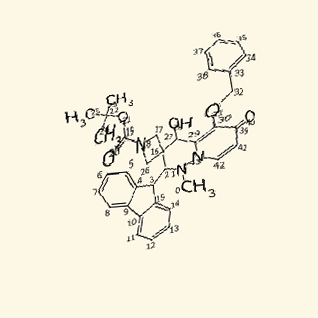 CN1C(C2c3ccccc3-c3ccccc32)C2(CN(C(=O)OC(C)(C)C)C2)C(O)c2c(OCc3ccccc3)c(=O)ccn21